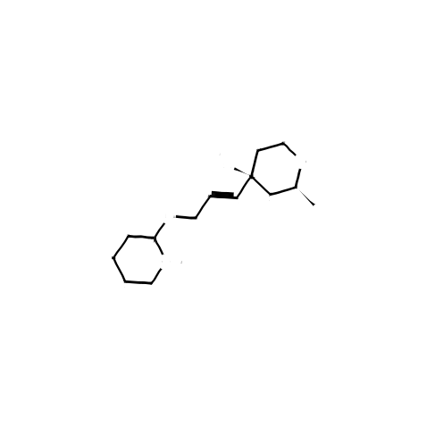 C[C@H]1C[C@](O)(C=CCOC2CCCCO2)CCO1